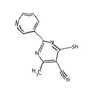 Cc1nc(-c2cccnc2)nc(S)c1C#N